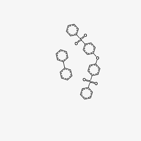 O=S(=O)(c1ccccc1)c1ccc(Oc2ccc(S(=O)(=O)c3ccccc3)cc2)cc1.c1ccc(-c2ccccc2)cc1